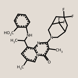 Cc1cc(C(C)Nc2ccccc2C(=O)O)c2nc(N3CC4CC(F)(F)CC(C3)C4(F)F)c(C)c(=O)n2c1